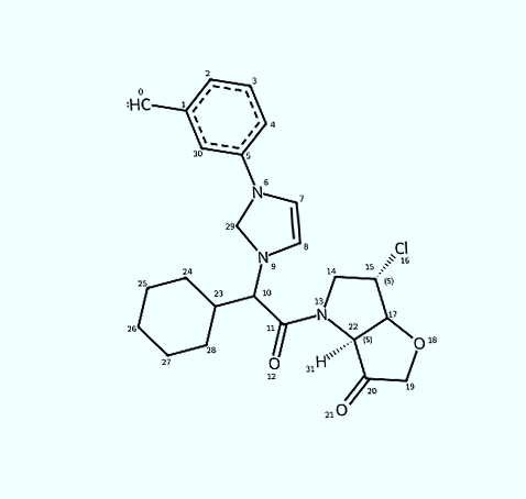 [CH]c1cccc(N2C=CN(C(C(=O)N3C[C@H](Cl)C4OCC(=O)[C@H]43)C3CCCCC3)C2)c1